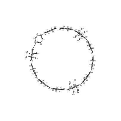 Fc1c(F)c2c(F)c(F)c1-c1ccc(cc1)-c1ccc(cc1)-c1ccc(cc1)-c1c(F)c(F)c(c(F)c1F)-c1ccc(cc1)-c1ccc(cc1)-c1ccc(cc1)-c1c(F)c(F)c(c(F)c1F)-c1ccc(cc1)-c1ccc(cc1)-c1ccc-2cc1